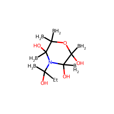 BC(O)(CC)N1C(B)(O)C(B)(B)OC(B)(O)C1(B)O